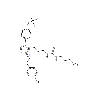 CCCCNC(=O)NCCCn1c(-c2ccc(OC(F)(F)F)cc2)cs/c1=N\Cc1ccc(Cl)cc1